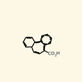 O=C(O)C1=c2ccccc2=C2C=CC=CC2C=C1